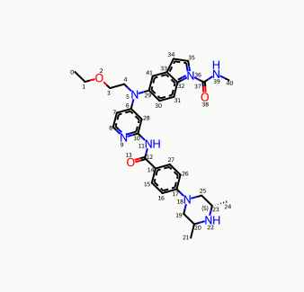 CCOCCN(c1ccnc(NC(=O)c2ccc(N3CC(C)N[C@@H](C)C3)cc2)c1)c1ccc2c(ccn2C(=O)NC)c1